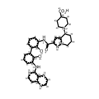 O=C(Nc1cccc(-c2cccc(Nc3nccc4nccnc34)c2Cl)c1Cl)c1cc2n(n1)CCC[C@@H]2N1CCC(C(=O)O)CC1